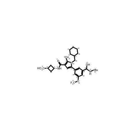 Cc1c(C(=O)N[C@H]2C[C@H](C(=O)O)C2)cc(-c2cc(OC(F)(F)F)cc(C(O)NC(C)(C)C)c2)n1CC1CCCCC1